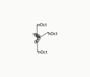 CCCCCCCC/C=C\CCCCCCCC(=O)OCC(CO[14C](=O)CCCCCCC/C=C\CCCCCCCC)OC(=O)CCCCCCC/C=C\CCCCCCCC